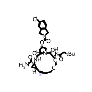 CC(C)(C)CC(=O)N[C@H]1CCCCC/C=C\[C@@H]2C[C@@]2(C(N)=O)NC(=O)[C@@H]2C[C@@H](OC(=O)N3Cc4ccc(Cl)cc4C3)CN2C1=O